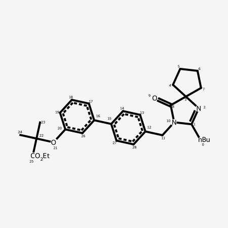 CCCCC1=NC2(CCCC2)C(=O)N1Cc1ccc(-c2cccc(OC(C)(C)C(=O)OCC)c2)cc1